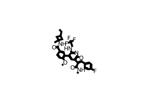 CCC1CC(C)(NC(=O)c2ccc(OC)c(-c3cc4c(C(=O)NC)c(-c5ccc(F)cc5)oc4nc3NCC(F)(F)F)c2)C1